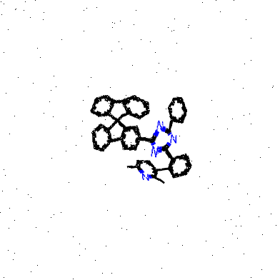 Cc1ccc(-c2ccccc2-c2nc(-c3ccccc3)nc(-c3ccc4c(c3)C3(c5ccccc5-c5ccccc53)c3ccccc3-4)n2)c(C)n1